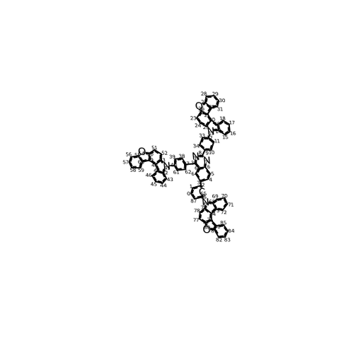 c1cc(-c2ccc3nc(-c4ccc(-n5c6ccccc6c6c7c(ccc65)oc5ccccc57)cc4)nc(-c4ccc(-n5c6ccccc6c6c7c(ccc65)oc5ccccc57)cc4)c3c2)cc(-n2c3ccccc3c3c4c(ccc32)oc2ccccc24)c1